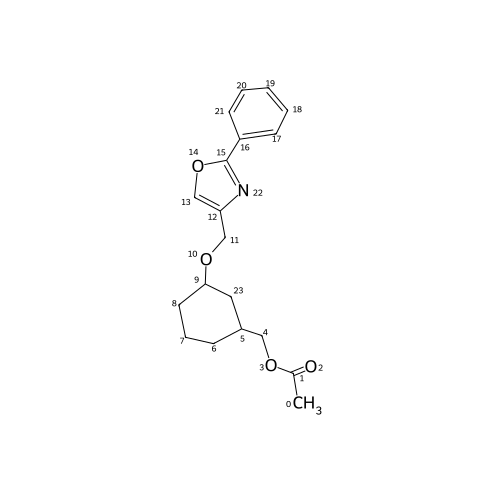 CC(=O)OCC1CCCC(OCc2coc(-c3ccccc3)n2)C1